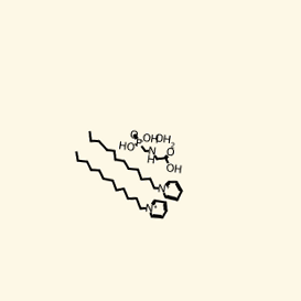 CCCCCCCCCCCC[n+]1ccccc1.CCCCCCCCCCCC[n+]1ccccc1.O.O=C(O)CNCP(=O)(O)O